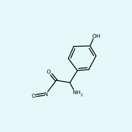 NC(C(=O)N=O)c1ccc(O)cc1